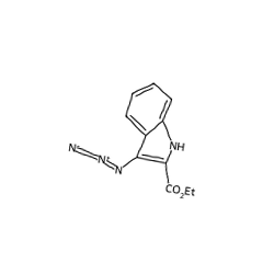 CCOC(=O)c1[nH]c2ccccc2c1N=[N+]=[N-]